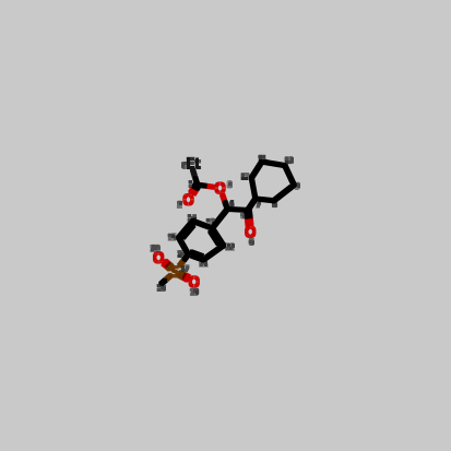 CCC(=O)OC(C(=O)C1CCCCC1)c1ccc(S(C)(=O)=O)cc1